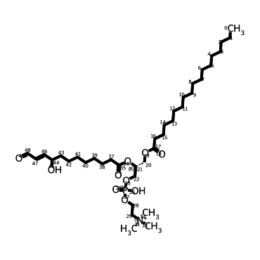 CCCCCCCCCCCCCCCCCC(=O)OC[C@H](COP(=O)(O)OCC[N+](C)(C)C)OC(=O)CCCCCCCC(O)C=CC=O